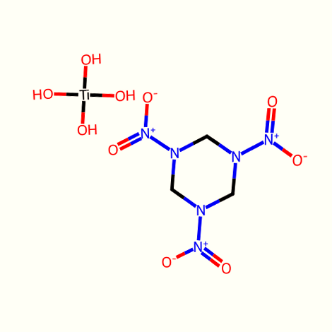 O=[N+]([O-])N1CN([N+](=O)[O-])CN([N+](=O)[O-])C1.[OH][Ti]([OH])([OH])[OH]